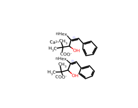 CCCCCC/C(=C/c1ccccc1)C(O)C(C)(C)C(=O)[O-].CCCCCC/C(=C/c1ccccc1)C(O)C(C)(C)C(=O)[O-].[Ca+2]